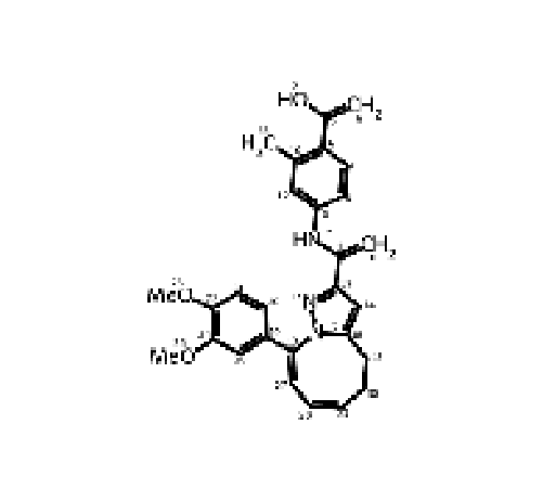 C=C(Nc1ccc(C(=C)O)c(C)c1)c1cc2n(n1)/C(c1ccc(OC)c(OC)c1)=C\C=C/CC2